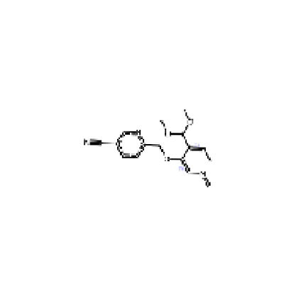 C=N/C=C(OCc1ccc(C#N)cn1)\C(=C/C)C(OC)OC